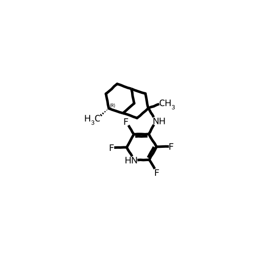 C[C@@H]1CCC2CC1CC(C)(NC1=C(F)C(F)NC(F)=C1F)C2